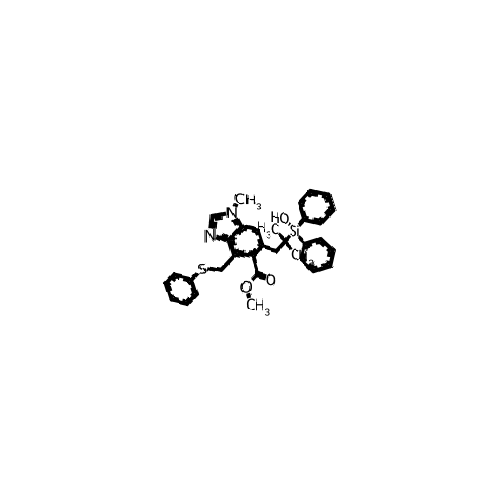 COC(=O)c1c(CC(C)(C)[Si](O)(c2ccccc2)c2ccccc2)cc2c(ncn2C)c1CSc1ccccc1